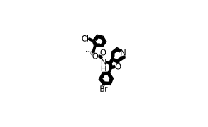 C[C@@H](OC(=O)Nc1c(-c2ccc(Br)cc2)oc2cnccc12)c1ccccc1Cl